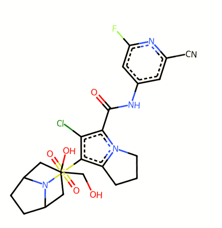 N#Cc1cc(NC(=O)c2c(Cl)c(S(=O)(=O)N3C4CCC3CC(O)(CO)C4)c3n2CCC3)cc(F)n1